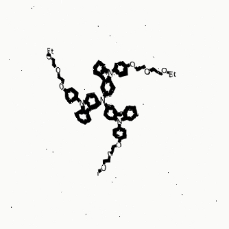 CCOCCOCCOc1ccc(-n2c3ccccc3c3cc(N(c4ccc5c(c4)c4ccccc4n5-c4ccc(OCCOCCOI)cc4)c4ccc5c(c4)c4ccccc4n5-c4ccc(OCCOCCOCC)cc4)ccc32)cc1